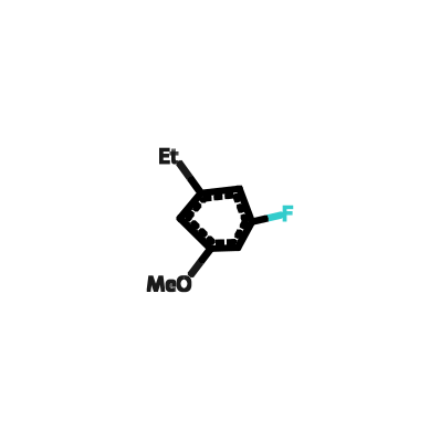 CCc1cc(F)cc(OC)c1